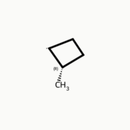 C[C@@H]1[CH]CC1